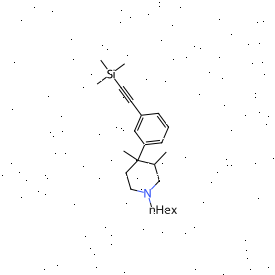 CCCCCCN1CCC(C)(c2cccc(C#C[Si](C)(C)C)c2)C(C)C1